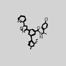 Cc1ccc(-c2cc(C(=O)N[C@H](C)c3ccc(Cl)cc3)cc(C3=NOC(c4ccccn4)C3)c2)c(F)c1